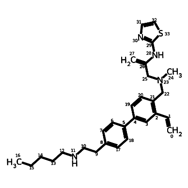 C=Cc1cc(-c2ccc(CCNCCCCC)cc2)ccc1CN(C)CC(=C)Nc1nccs1